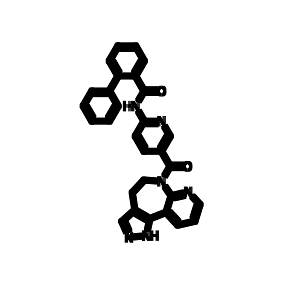 O=C(Nc1ccc(C(=O)N2CCc3cn[nH]c3-c3cccnc32)cn1)c1ccccc1-c1ccccc1